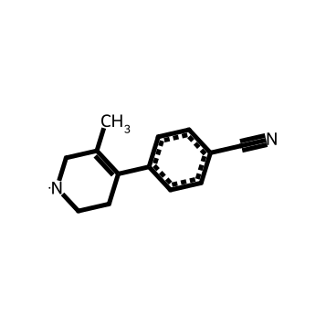 CC1=C(c2ccc(C#N)cc2)CC[N]C1